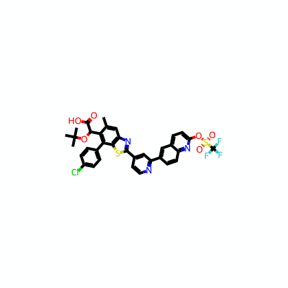 Cc1cc2nc(-c3ccnc(-c4ccc5nc(OS(=O)(=O)C(F)(F)F)ccc5c4)c3)sc2c(-c2ccc(Cl)cc2)c1C(OC(C)(C)C)C(=O)O